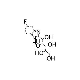 OCC(O)[C@@H](O)C(O)C(O)c1nc2cc(F)ccc2[nH]1